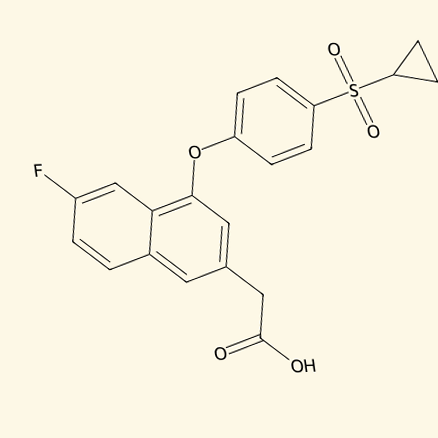 O=C(O)Cc1cc(Oc2ccc(S(=O)(=O)C3CC3)cc2)c2cc(F)ccc2c1